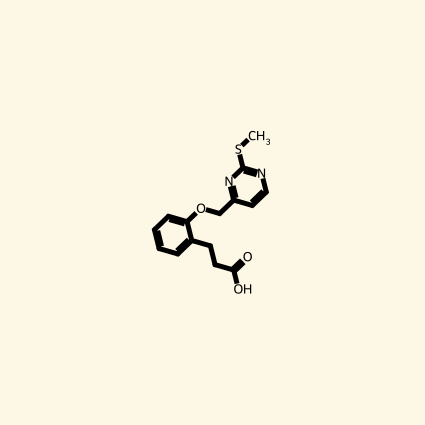 CSc1nccc(COc2ccccc2CCC(=O)O)n1